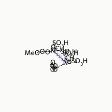 COCCOCCOCCN1/C(=C/C=C/C=C/C=C/C2=[N+](CCCCCC(=O)ON3C(=O)CCC3=O)c3ccc(S(=O)(=O)O)cc3C2(C)CCCS(=O)(=O)O)C(C)(CCCS(=O)(=O)O)c2cc(S(=O)(=O)O)ccc21